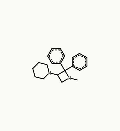 CN1CC(N2CCCCC2)C1(c1ccccc1)c1ccccc1